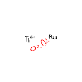 [O-2].[O-2].[Ru].[Ti+4]